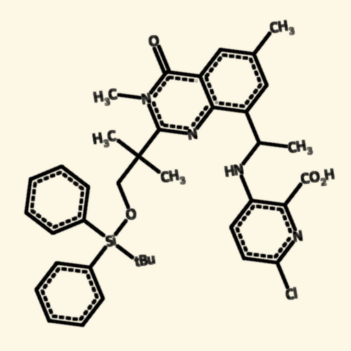 Cc1cc(C(C)Nc2ccc(Cl)nc2C(=O)O)c2nc(C(C)(C)CO[Si](c3ccccc3)(c3ccccc3)C(C)(C)C)n(C)c(=O)c2c1